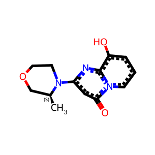 C[C@H]1COCCN1c1cc(=O)n2cccc(O)c2n1